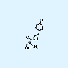 N[C@@H](CO)C(=O)NCCc1ccc(Cl)cc1